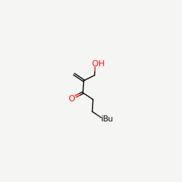 C=C(CO)C(=O)CCC(C)CC